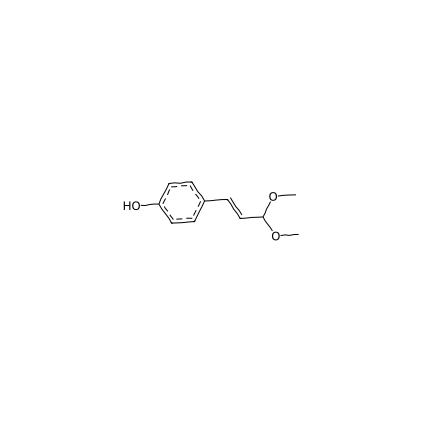 COC(C=Cc1ccc(O)cc1)OC